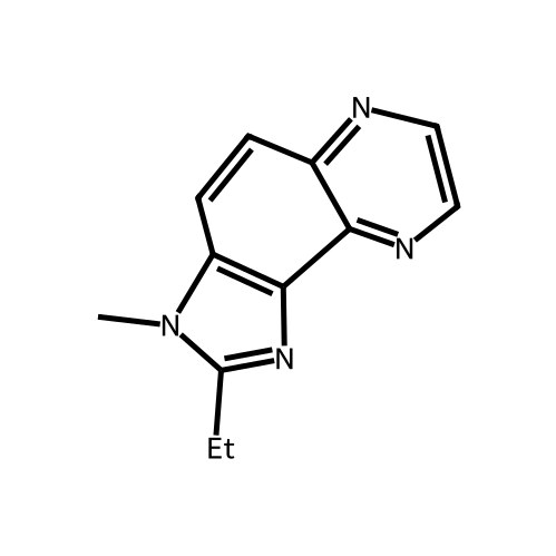 CCc1nc2c3nccnc3ccc2n1C